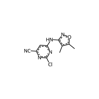 Cc1onc(Nc2cc(C#N)nc(Cl)n2)c1C